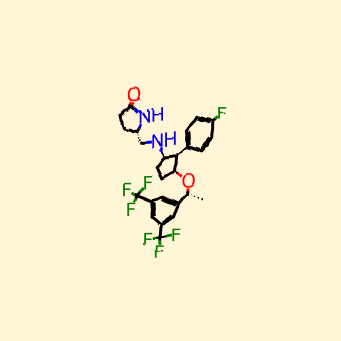 C[C@@H](O[C@H]1CC[C@@H](NC[C@@H]2CCC(=O)N2)[C@H]1c1ccc(F)cc1)c1cc(C(F)(F)F)cc(C(F)(F)F)c1